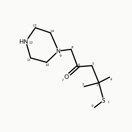 CSC(C)(C)CC(=O)CN1CCNCC1